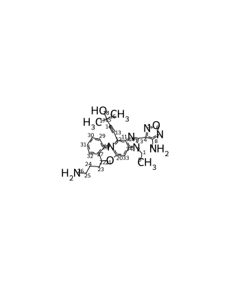 CCn1c(-c2nonc2N)nc2c(C#CC(C)(C)O)nc(OC(CCCN)c3ccccc3)cc21